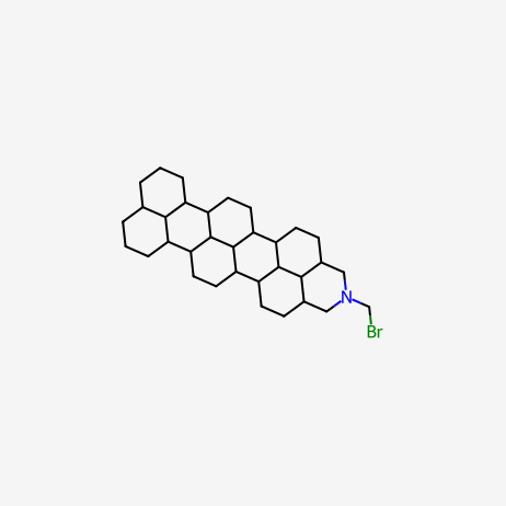 BrCN1CC2CCC3C4CCC5C6CCCC7CCCC(C8CCC(C9CCC(C1)C2C39)C4C58)C76